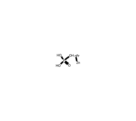 CC[CH2][Zn].O=P(O)(O)O